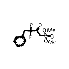 COP(=O)(CC(=O)C(F)(F)Cc1ccccc1)OC